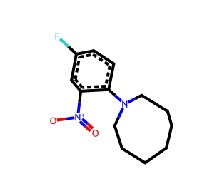 O=[N+]([O-])c1cc(F)ccc1N1CCCCCCC1